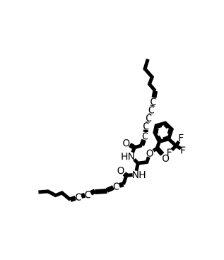 CCCCC=C=C=C=C=C=CC(=O)NC(COC(=O)c1ccccc1C(F)(F)F)NC(=O)C=C=C=C=C=C=CCCCC